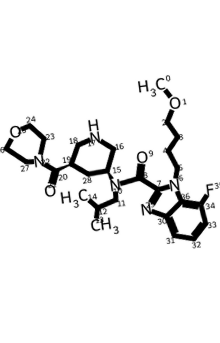 COCCCCn1c(C(=O)N(CC(C)C)[C@@H]2CNC[C@H](C(=O)N3CCOCC3)C2)nc2cccc(F)c21